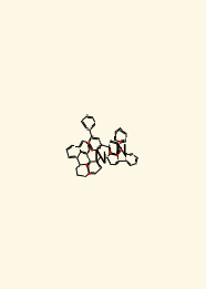 c1ccc(-c2ccc(N(c3ccc4c5ccccc5n(-c5ccccc5)c4c3)c3ccccc3-c3cccc4cccc(C5CCCCC5)c34)c(-c3ccccc3)c2)cc1